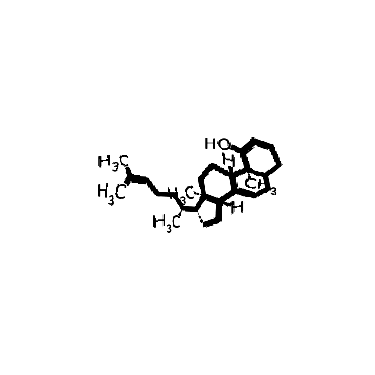 CC(C)=CCC[C@@H](C)[C@H]1CC[C@H]2C3=CCC4CCCC(O)[C@]4(C)[C@H]3CC[C@]12C